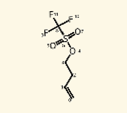 C=CCCOS(=O)(=O)C(F)(F)F